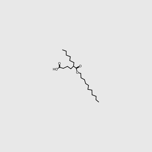 CCCCCCCCCCCOC(=O)C(CCCCCC)CCCC(=O)O